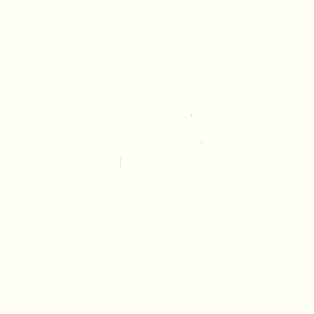 COC(=O)Cc1ccc(C)c(C(F)(F)F)c1